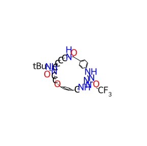 CC(C)(C)NC(=O)N1CCCCNC(=O)c2ccc(cc2)Nc2nc(nc(OCC(F)(F)F)n2)NCc2ccc(cc2)OCC1